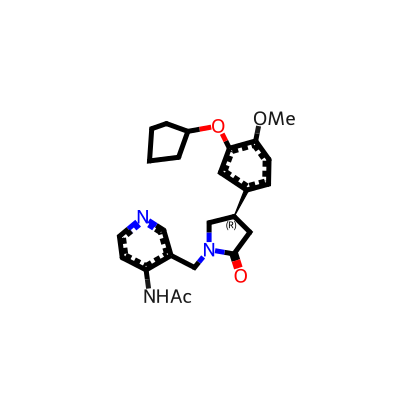 COc1ccc([C@H]2CC(=O)N(Cc3cnccc3NC(C)=O)C2)cc1OC1CCCC1